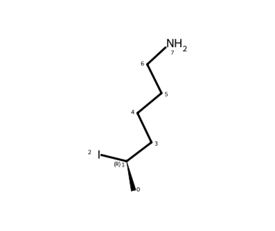 C[C@@H](I)CCCCN